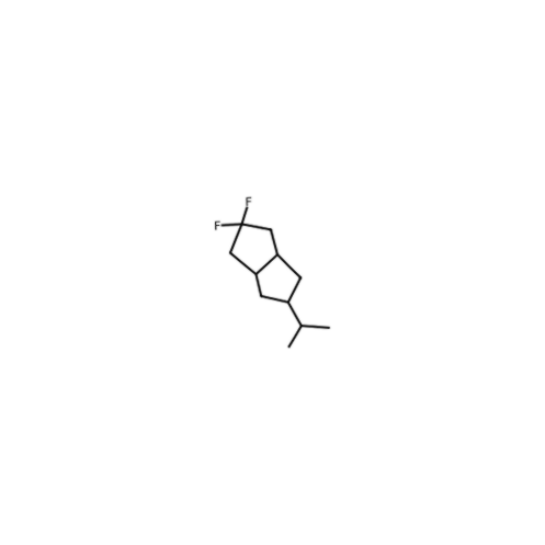 CC(C)C1CC2CC(F)(F)CC2C1